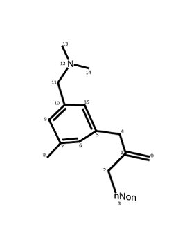 C=C(CCCCCCCCCC)Cc1cc(C)cc(CN(C)C)c1